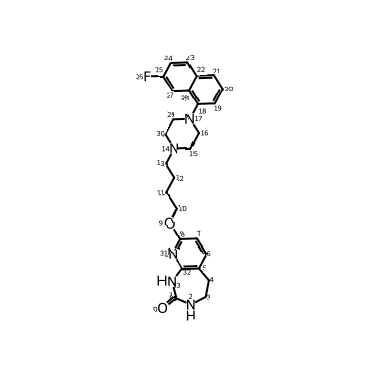 O=C1NCCc2ccc(OCCCCN3CCN(c4cccc5ccc(F)cc45)CC3)nc2N1